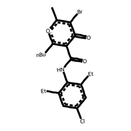 CCCCc1oc(C)c(Br)c(=O)c1C(=O)Nc1c(CC)cc(Cl)cc1CC